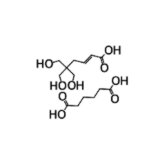 O=C(O)C=CCC(CO)(CO)CO.O=C(O)CCCCC(=O)O